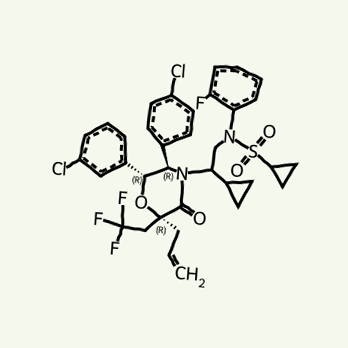 C=CC[C@]1(CC(F)(F)F)O[C@H](c2cccc(Cl)c2)[C@@H](c2ccc(Cl)cc2)N(C(CN(c2ccccc2F)S(=O)(=O)C2CC2)C2CC2)C1=O